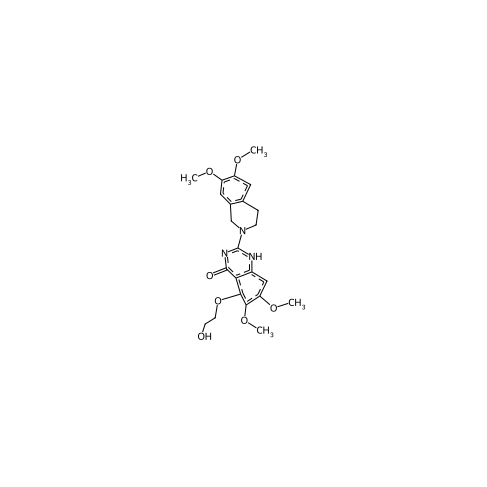 COc1cc2c(cc1OC)CN(c1nc(=O)c3c(OCCO)c(OC)c(OC)cc3[nH]1)CC2